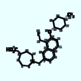 O=C(O)C1CCCN(Cc2ccc3ccc(O[C@H]4CC[C@@H](C(F)(F)F)CC4)c(CF)c3c2)CC1